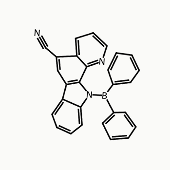 N#Cc1cc2c3ccccc3n(B(c3ccccc3)c3ccccc3)c2c2ncccc12